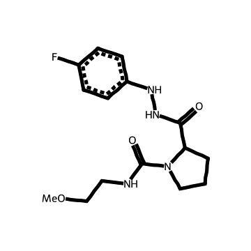 COCCNC(=O)N1CCCC1C(=O)NNc1ccc(F)cc1